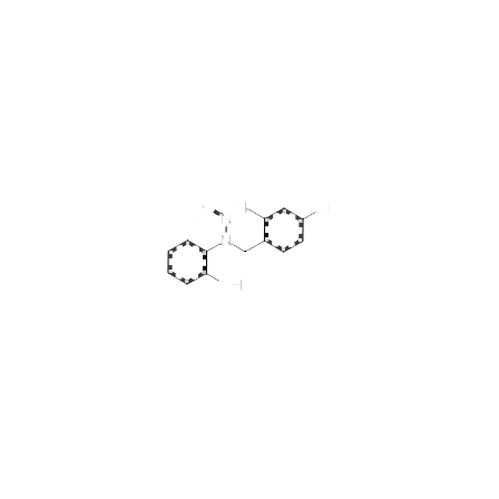 C=NN(Cc1ccc(Cl)cc1Cl)c1ccccc1C